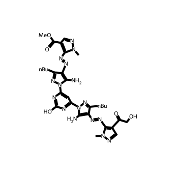 CCCCc1nn(-c2cc(-n3nc(CCCC)c(/N=N/c4c(C(=O)OC)cnn4C)c3N)nc(O)n2)c(N)c1/N=N/c1c(C(=O)CO)cnn1C